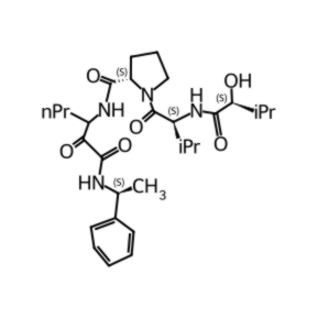 CCCC(NC(=O)[C@@H]1CCCN1C(=O)[C@@H](NC(=O)[C@@H](O)C(C)C)C(C)C)C(=O)C(=O)N[C@@H](C)c1ccccc1